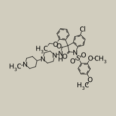 CCOc1ccccc1C1(C(=O)NN2CCN(C3CCN(C)CC3)CC2)C(=O)N(S(=O)(=O)c2ccc(OC)cc2OC)c2ccc(Cl)cc21